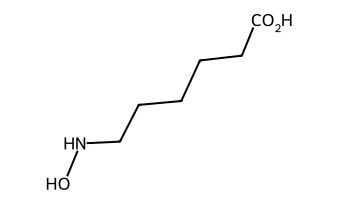 O=C(O)CCCCCNO